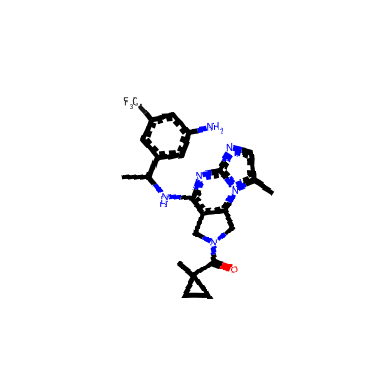 Cc1cnc2nc(NC(C)c3cc(N)cc(C(F)(F)F)c3)c3c(n12)CN(C(=O)C1(C)CC1)C3